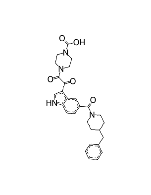 O=C(C(=O)N1CCN(C(=O)O)CC1)c1c[nH]c2ccc(C(=O)N3CCC(Cc4ccccc4)CC3)cc12